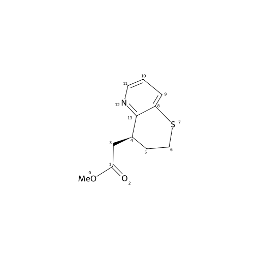 COC(=O)C[C@@H]1CCSc2cccnc21